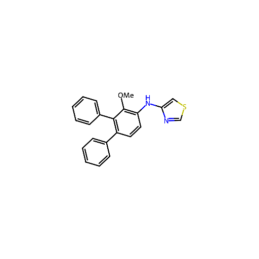 COc1c(Nc2cscn2)ccc(-c2ccccc2)c1-c1ccccc1